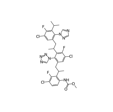 COC(=O)Nc1ccc(Cl)c(F)c1C(C)Cc1cc(Cl)c(F)c(C(C)Cc2cc(Cl)c(F)c(C(C)C)c2-n2cncn2)c1-n1cnnn1